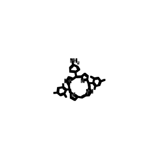 Cc1cc(C)c(-c2c3nc(c(-c4ccc(N)cc4)c4ccc([nH]4)c(-c4c(C)cc(C)cc4C)c4nc(cc5ccc2[nH]5)C=C4)C=C3)c(C)c1